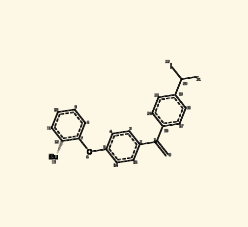 C=C(c1ccc(Oc2ccccc2[C@@H](C)CC)cc1)c1ccc(C(C)I)cc1